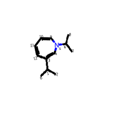 CC(C)C1=CN(C(C)C)C=CC=C1